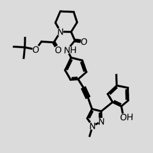 Cc1ccc(O)c(-c2nn(C)cc2C#Cc2ccc(NC(=O)C3CCCCN3C(=O)COC(C)(C)C)cc2)c1